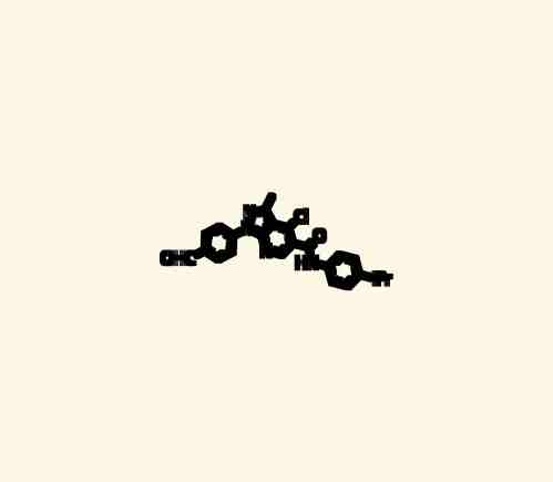 Cc1nn(-c2ccc(C=O)cc2)c2ncc(C(=O)Nc3ccc(C(C)C)cc3)c(Cl)c12